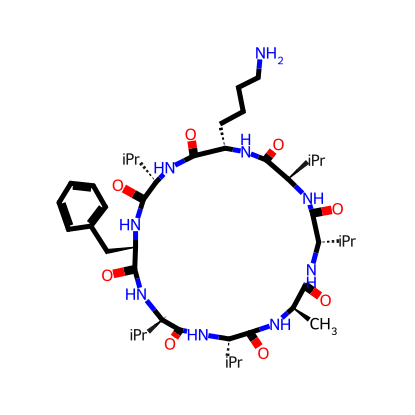 CC(C)[C@@H]1NC(=O)[C@H](CCCCN)NC(=O)[C@@H](C(C)C)NC(=O)[C@H](C(C)C)NC(=O)[C@@H](C)NC(=O)[C@H](C(C)C)NC(=O)[C@@H](C(C)C)NC(=O)[C@@H](Cc2ccccc2)NC1=O